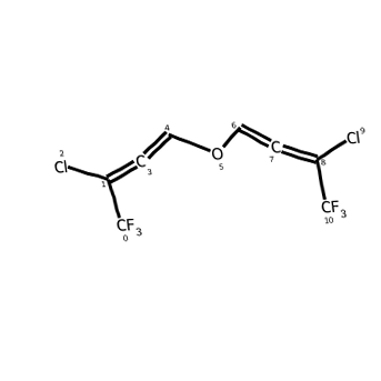 FC(F)(F)C(Cl)=C=COC=C=C(Cl)C(F)(F)F